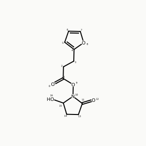 O=C(CCc1ccco1)ON1C(=O)CCC1O